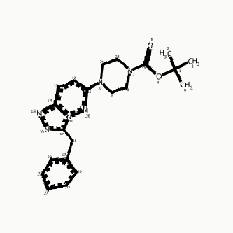 CC(C)(C)OC(=O)N1CCN(c2ccc3nnc(Cc4ccccc4)n3n2)CC1